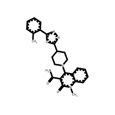 Cc1ccccc1-c1nnc(C2CCN(c3c(C(N)=O)c(=O)n(C)c4ccccc34)CC2)o1